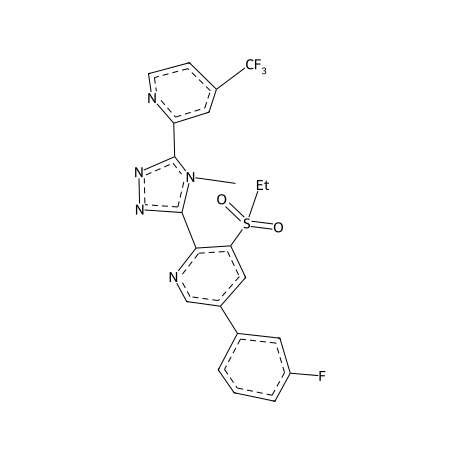 CCS(=O)(=O)c1cc(-c2cccc(F)c2)cnc1-c1nnc(-c2cc(C(F)(F)F)ccn2)n1C